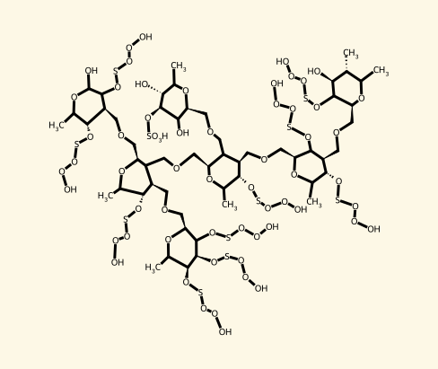 CC1O[C@@H](COC[C@@H]2C(OSOOO)[C@H](COC[C@@H]3C(COC[C@@H]4OC(C)[C@@H](O)[C@H](OS(=O)(=O)O)C4O)[C@H](COCC4[C@H](COC[C@@H]5C(OSOOO)C(O)OC(C)[C@H]5OSOOO)OC(C)[C@@H](OSOOO)[C@@H]4COC[C@@H]4OC(C)[C@H](OSOOO)[C@H](OSOOO)C4OSOOO)OC(C)[C@H]3OSOOO)OC(C)[C@H]2OSOOO)C(OSOOO)[C@@H](O)[C@@H]1C